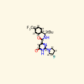 CC(C)(C)[C@@H](NC(=O)c1cc(=O)[nH]c(N2CC[C@H](F)C2)n1)c1ccc(C(F)(F)F)cc1